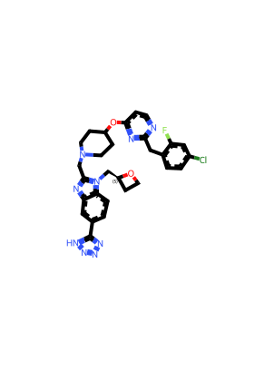 Fc1cc(Cl)ccc1Cc1nccc(OC2CCN(Cc3nc4cc(-c5nnn[nH]5)ccc4n3C[C@@H]3CCO3)CC2)n1